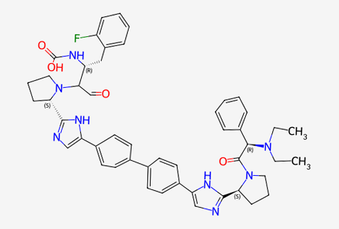 CCN(CC)[C@@H](C(=O)N1CCC[C@H]1c1ncc(-c2ccc(-c3ccc(-c4cnc([C@@H]5CCCN5C(C=O)[C@@H](Cc5ccccc5F)NC(=O)O)[nH]4)cc3)cc2)[nH]1)c1ccccc1